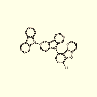 Clc1ccc(-n2c3ccccc3c3cc(-n4c5ccccc5c5ccccc54)ccc32)c2c1oc1ccccc12